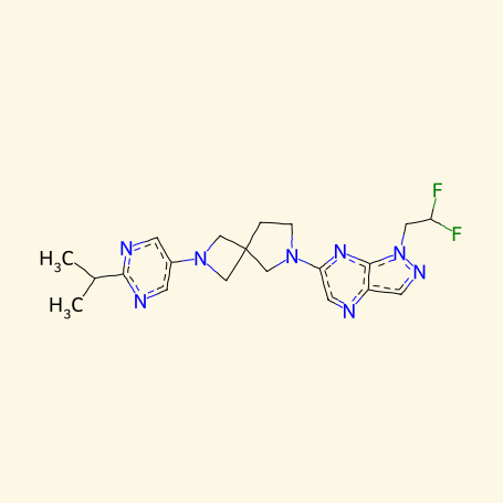 CC(C)c1ncc(N2CC3(CCN(c4cnc5cnn(CC(F)F)c5n4)C3)C2)cn1